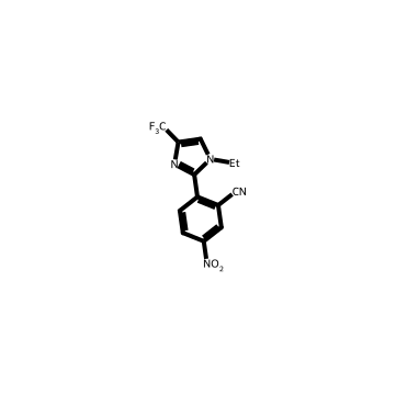 CCn1cc(C(F)(F)F)nc1-c1ccc([N+](=O)[O-])cc1C#N